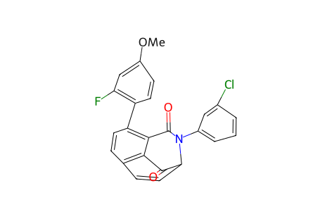 COc1ccc(-c2ccc3c4c2C(=O)N(c2cccc(Cl)c2)C(C=C3)C4=O)c(F)c1